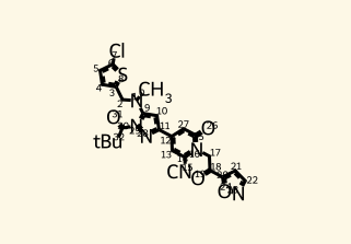 CN(Cc1ccc(Cl)s1)c1cc(-c2cc(C#N)n(CC(=O)c3ccno3)c(=O)c2)nn1C(=O)C(C)(C)C